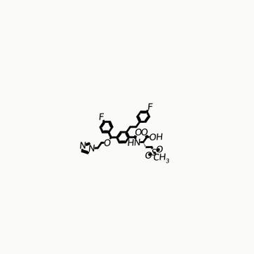 CS(=O)(=O)CC[C@H](NC(=O)c1ccc(C(OCCn2ccnc2)c2ccc(F)cc2)cc1CCc1ccc(F)cc1)C(=O)O